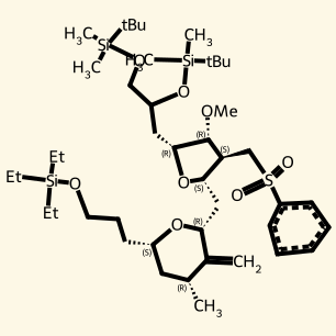 C=C1[C@H](C)C[C@H](CCCO[Si](CC)(CC)CC)O[C@@H]1C[C@@H]1O[C@H](CC(CO[Si](C)(C)C(C)(C)C)O[Si](C)(C)C(C)(C)C)[C@H](OC)[C@H]1CS(=O)(=O)c1ccccc1